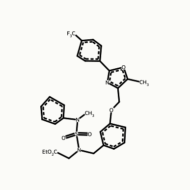 CCOC(=O)CN(Cc1cccc(OCc2nc(-c3ccc(C(F)(F)F)cc3)oc2C)c1)S(=O)(=O)N(C)c1ccccc1